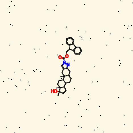 CC12Cc3cn(C(=O)OCC4c5ccccc5-c5ccccc54)nc3CC1CCC1C2CCC2(C)C1CC[C@]2(C)O